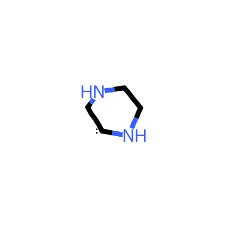 [C]1CNCCN1